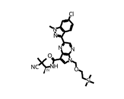 C[C@H](NC(=O)c1cn(COCC[Si](C)(C)C)c2ncc(-c3nn(C)c4cc(Cl)ccc34)nc12)C(C)(C)C#N